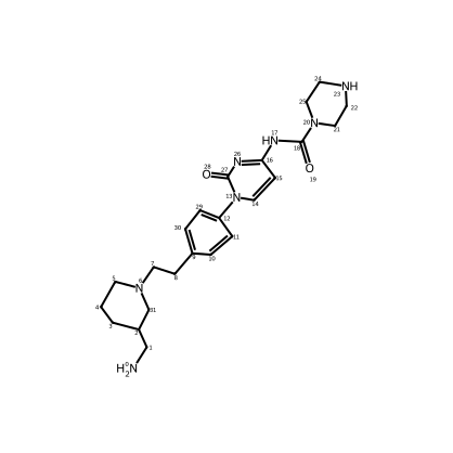 NCC1CCCN(CCc2ccc(-n3ccc(NC(=O)N4CCNCC4)nc3=O)cc2)C1